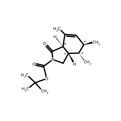 CC1=C[C@@H](C)[C@H](C)[C@@H]2CN(C(=O)OC(C)(C)C)C(=O)[C@@H]12